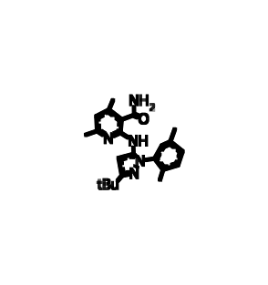 Cc1ccc(C)c(-n2nc(C(C)(C)C)cc2Nc2nc(C)cc(C)c2C(N)=O)c1